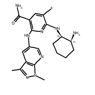 Cc1nn(C)c2ncc(Nc3nc(N[C@@H]4CCCC[C@@H]4N)c(F)cc3C(N)=O)cc12